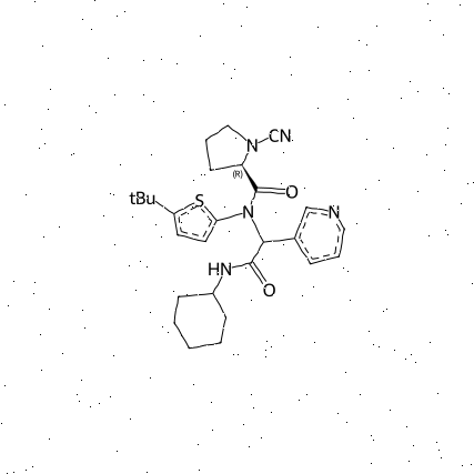 CC(C)(C)c1ccc(N(C(=O)[C@H]2CCCN2C#N)C(C(=O)NC2CCCCC2)c2cccnc2)s1